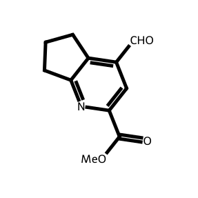 COC(=O)c1cc(C=O)c2c(n1)CCC2